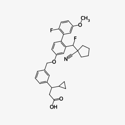 COc1ccc(F)c(-c2ccc(OCc3cccc(C(CC(=O)O)C4CC4)c3)cc2C(F)C2(C#N)CCCC2)c1